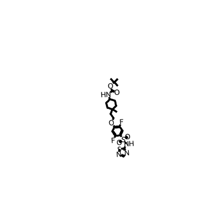 CC1(CCOc2cc(F)c(S(=O)(=O)Nc3ncns3)cc2F)CCC(NC(=O)OC(C)(C)C)CC1